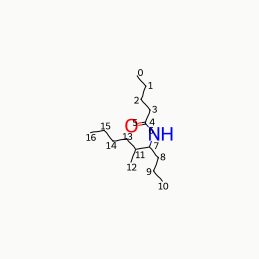 CCCCC(=O)NC(CCC)C(C)CCCC